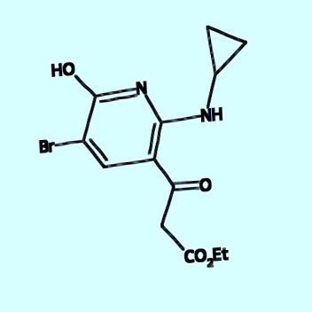 CCOC(=O)CC(=O)c1cc(Br)c(O)nc1NC1CC1